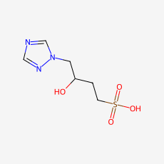 O=S(=O)(O)CCC(O)Cn1cncn1